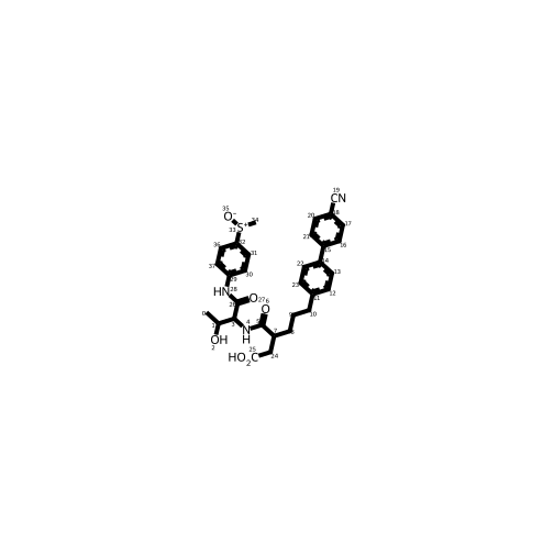 CC(O)C(NC(=O)C(CCCc1ccc(-c2ccc(C#N)cc2)cc1)CC(=O)O)C(=O)Nc1ccc([S+](C)[O-])cc1